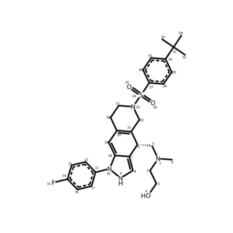 CN(CCO)C[C@@H]1C2=CNN(c3ccc(F)cc3)C2=CC2=C1CN(S(=O)(=O)c1ccc(C(C)(C)C)cc1)CC2